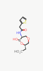 O=C(O)C[C@@H]1COC[C@H](NC(=O)Cc2cccs2)B(O)O1